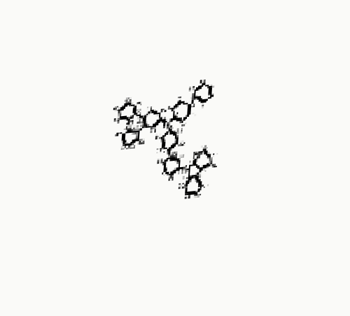 c1ccc(-c2ccc(N(c3ccc(-c4cccc(-n5c6ccccc6c6cccnc65)c4)cc3)c3ccc(-c4ccccc4)c(-c4ccccc4)c3)cc2)cc1